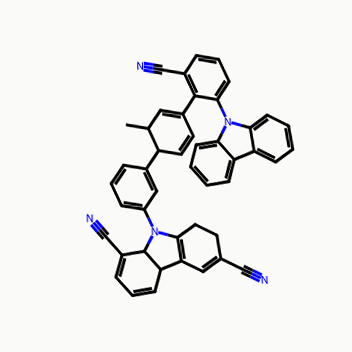 CC1C=C(c2c(C#N)cccc2-n2c3ccccc3c3ccccc32)C=CC1c1cccc(N2C3=C(C=C(C#N)CC3)C3C=CC=C(C#N)C32)c1